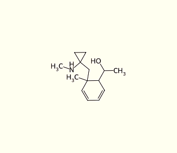 CNC1(CC2(C)C=CC=CC2C(C)O)CC1